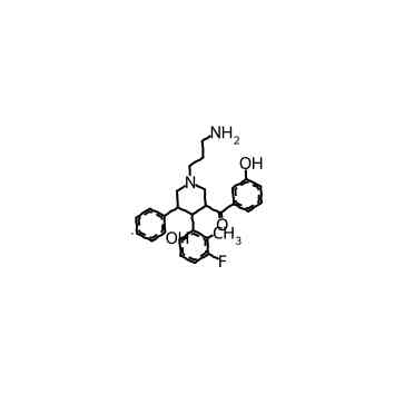 Cc1c(F)cccc1C1C(C(=O)c2cccc(O)c2)CN(CCCN)CC1c1cc[c]cc1O